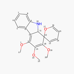 COC1=C2c3ccccc3NC2C2(C=CC=CO2)C(OC)=C1OC